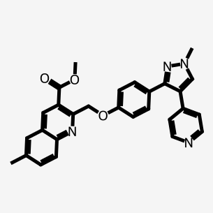 COC(=O)c1cc2cc(C)ccc2nc1COc1ccc(-c2nn(C)cc2-c2ccncc2)cc1